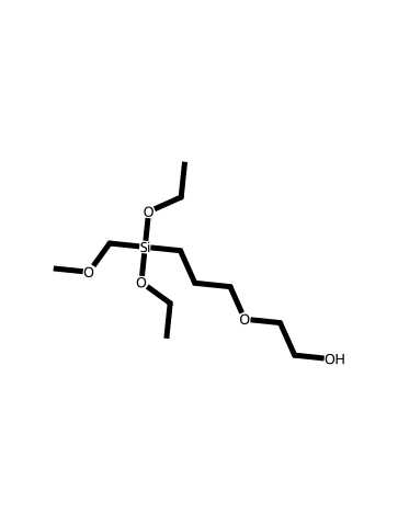 CCO[Si](CCCOCCO)(COC)OCC